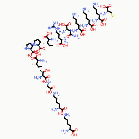 CC[C@H](C)[C@H](N)C(=O)O.CC[C@H](C)[C@H](N)C(=O)O.C[C@@H](O)[C@H](N)C(=O)O.N=C(N)NCCC[C@H](N)C(=O)O.NC(=O)C[C@H](N)C(=O)O.NCC(=O)O.NCCCC[C@H](N)C(=O)O.NCCCC[C@H](N)C(=O)O.NCCCC[C@H](N)C(=O)O.NCCCC[C@H](N)C(=O)O.NCCCC[C@H](N)C(=O)O.N[C@@H](CS)C(=O)O.O=C(O)[C@@H]1CCCN1.O=C(O)[C@@H]1CCCN1